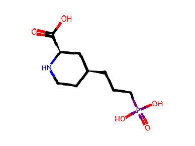 O=C(O)[C@H]1C[C@@H](CCCP(=O)(O)O)CCN1